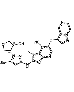 Cn1c(Nc2cc(C(C)(C)C)n([C@@H]3COC[C@@H]3O)n2)nc2ncc(Oc3cnn4ccncc34)c(C#N)c21